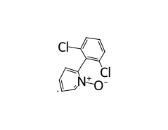 [O-][n+]1c[c]ccc1-c1c(Cl)cccc1Cl